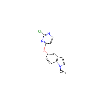 Cn1ccc2cc(Oc3ccnc(Cl)n3)ccc21